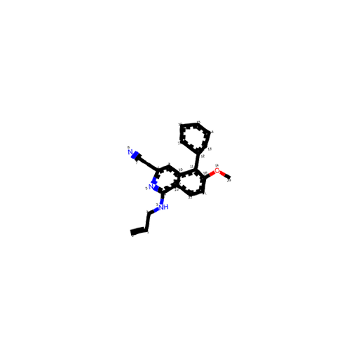 C=CCNc1nc(C#N)cc2c(-c3ccccc3)c(OC)ccc12